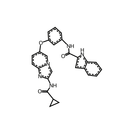 O=C(Nc1cccc(Oc2ccc3nc(NC(=O)C4CC4)cn3c2)c1)c1cc2ccccc2[nH]1